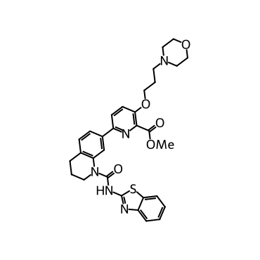 COC(=O)c1nc(-c2ccc3c(c2)N(C(=O)Nc2nc4ccccc4s2)CCC3)ccc1OCCCN1CCOCC1